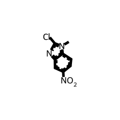 Cn1c(Cl)nc2cc([N+](=O)[O-])ccc21